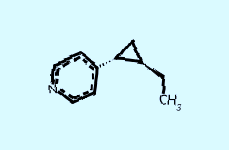 CC[C@@H]1C[C@H]1c1ccncc1